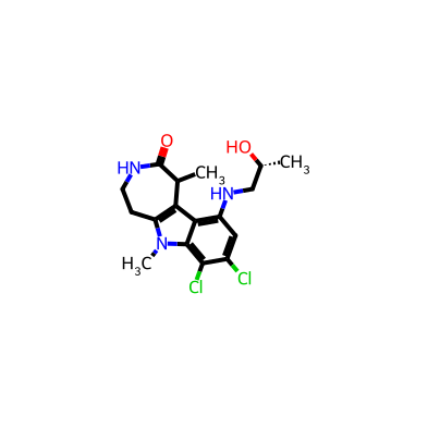 CC1C(=O)NCCc2c1c1c(NC[C@@H](C)O)cc(Cl)c(Cl)c1n2C